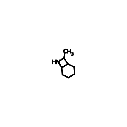 CC1NC2CCCCC12